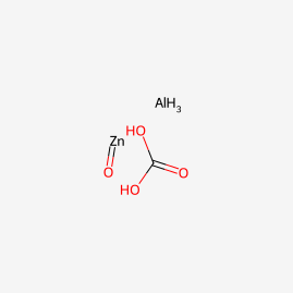 O=C(O)O.[AlH3].[O]=[Zn]